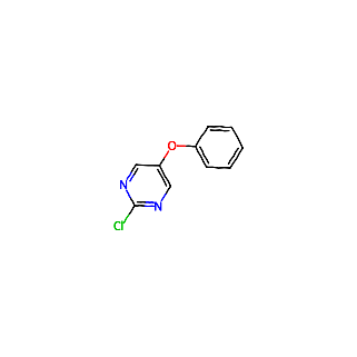 Clc1ncc(Oc2ccccc2)cn1